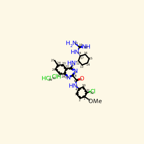 COc1ccc(NC(=O)c2nc(N[C@H]3CCCC[C@H]3NC(=N)N)c3cc(C)ccc3n2)cc1Cl.Cl.Cl